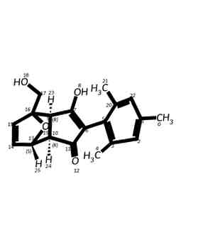 Cc1cc(C)c(C2=C(O)[C@H]3[C@@H](C2=O)[C@@H]2C=CC3(CO)O2)c(C)c1